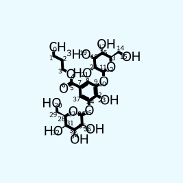 CCCCOC(=O)c1cc(OC2O[C@H](CO)[C@@H](O)[C@H](O)[C@H]2O)c(O)c(OC2O[C@H](CO)[C@@H](O)[C@H](O)[C@H]2O)c1